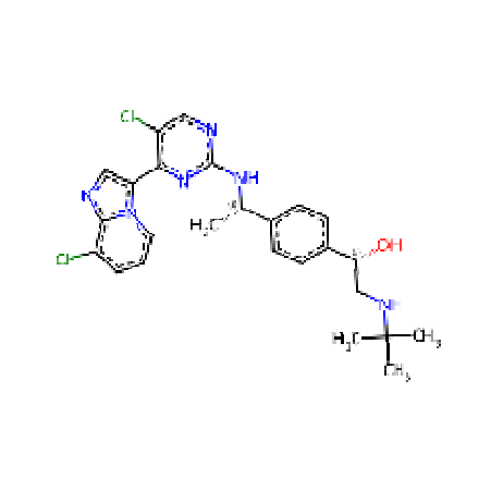 C[C@H](Nc1ncc(Cl)c(-c2cnc3c(Cl)cccn23)n1)c1ccc([C@H](O)CNC(C)(C)C)cc1